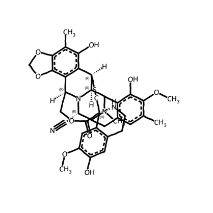 COc1cc2c(cc1O)CCN[C@]21CS[C@@H]2c3c(O)c(C)c4c(c3[C@H](COC1=O)N1[C@@H]2C2c3c(cc(C)c(OC)c3O)CC([C@@H]1C#N)N2C)OCO4